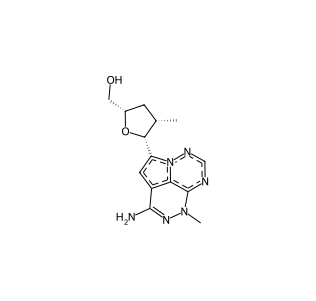 C[C@H]1C[C@@H](CO)O[C@H]1c1cc2c3c(ncnn13)N(C)N=C2N